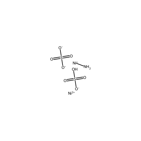 O=S(=O)([O-])O.O=S(=O)([O-])[O-].[NH2][Ni+].[Ni+2]